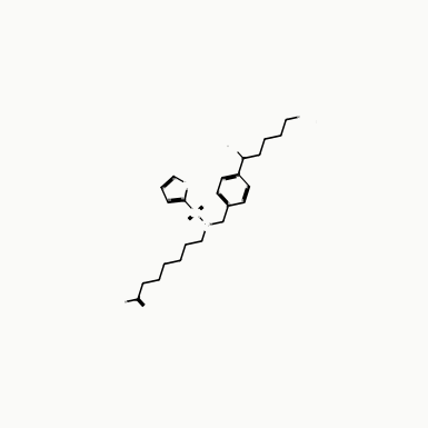 CCCCCC(O)c1ccc(CN(CCCCCCC(=O)O)S(=O)(=O)c2cccs2)cc1